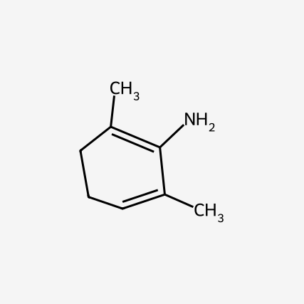 CC1=CCCC(C)=C1N